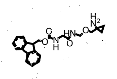 NC1(COCNC(=O)CNC(=O)OCC2c3ccccc3-c3ccccc32)CC1